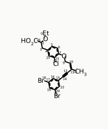 CCOC(Cc1ccc(OCC=C(C)C#Cc2cc(Br)cc(Br)c2)c(Cl)c1)C(=O)O